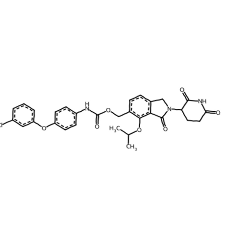 CC(C)Oc1c(COC(=O)Nc2ccc(Oc3cccc(Cl)c3)cc2)ccc2c1C(=O)N(C1CCC(=O)NC1=O)C2